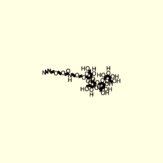 [N-]=[N+]=NCCOCCOCC(=O)NCCOCCO[C@H]1OC(CO)[C@@H](O)C(O[C@H]2OC(CO)[C@@H](O)C(O)C2O[C@H]2OC(CO)[C@@H](O)C(O)C2O[C@H]2OC(CO)[C@@H](O)C(O)C2O)C1O